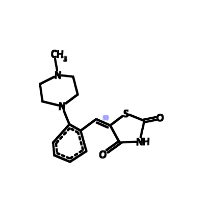 CN1CCN(c2ccccc2/C=C2/SC(=O)NC2=O)CC1